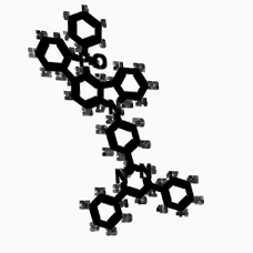 O=P1(c2ccccc2)c2ccccc2-c2ccc3c(c21)c1ccccc1n3-c1ccc(-c2nc(-c3ccccc3)cc(-c3ccccc3)n2)cc1